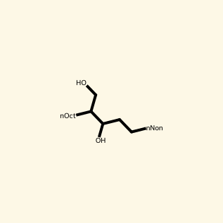 CCCCCCCCCCCC(O)C(CO)CCCCCCCC